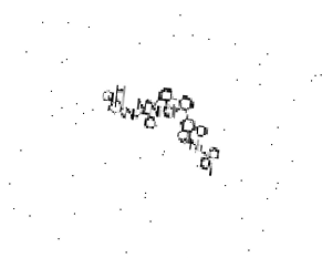 CCOC(=O)C1CN([C@@H]2CCc3cc(-c4cccc(-c5cccc(-c6cnc(CN7CC8(CCC(=O)N8)C7)c(OC)n6)c5Cl)c4Cl)cc(OC)c32)C1